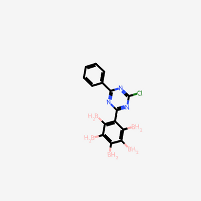 Bc1c(B)c(B)c(-c2nc(Cl)nc(-c3ccccc3)n2)c(B)c1B